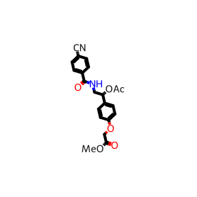 COC(=O)COc1ccc(C(CNC(=O)c2ccc(C#N)cc2)OC(C)=O)cc1